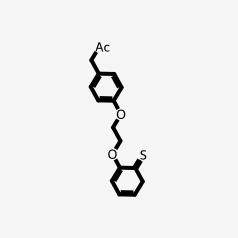 CC(=O)Cc1ccc(OCCOC2=CC=CCC2=S)cc1